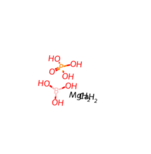 O=P(O)(O)O.OB(O)O.[CaH2].[MgH2]